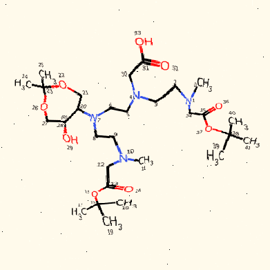 CN(CCN(CCN(CCN(C)CC(=O)OC(C)(C)C)C1COC(C)(C)OC[C@@H]1O)CC(=O)O)CC(=O)OC(C)(C)C